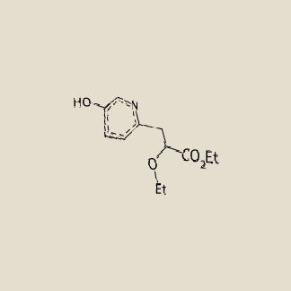 CCOC(=O)C(Cc1ccc(O)cn1)OCC